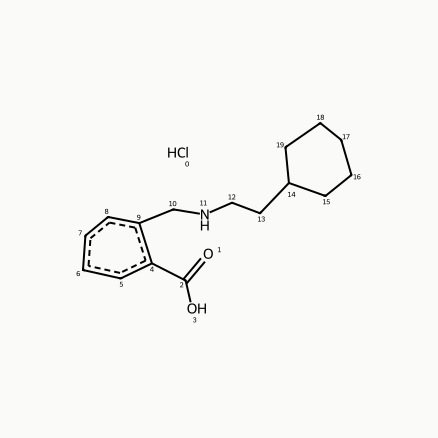 Cl.O=C(O)c1ccccc1CNCCC1CCCCC1